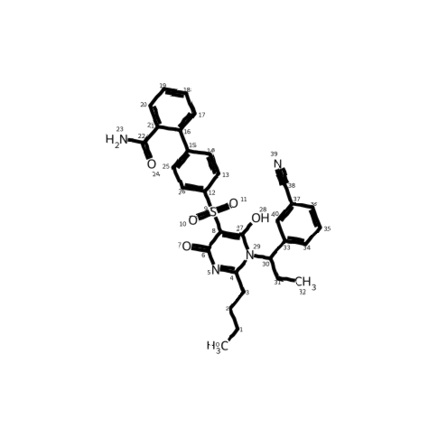 CCCCc1nc(=O)c(S(=O)(=O)c2ccc(-c3ccccc3C(N)=O)cc2)c(O)n1C(CC)c1cccc(C#N)c1